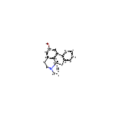 CN1CCc2cc(Br)cc3c2[C@H]1Cc1ccccc1-3